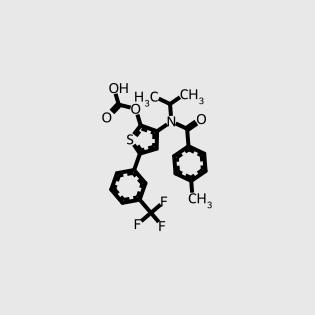 Cc1ccc(C(=O)N(c2cc(-c3cccc(C(F)(F)F)c3)sc2OC(=O)O)C(C)C)cc1